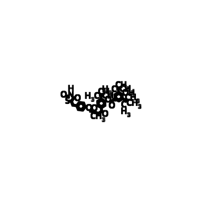 CC1(COc2ccc(CC3SC(=O)NC3=O)cc2)CC(=O)c2cc(OC(=O)c3cc(C(C)(C)C)c(O)c(C(C)(C)C)c3)c(C(C)(C)C)cc2O1